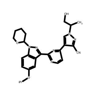 CC(C)Oc1ccc2c(c1)c(-c1nccc(-c3cn(C(C)CO)nc3C#N)n1)nn2C1CCCCO1